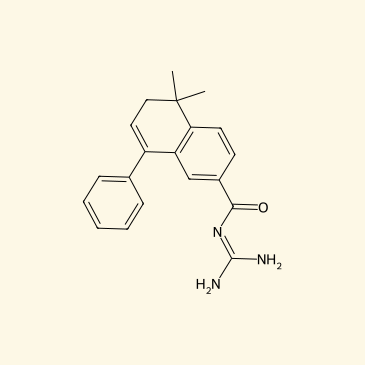 CC1(C)CC=C(c2ccccc2)c2cc(C(=O)N=C(N)N)ccc21